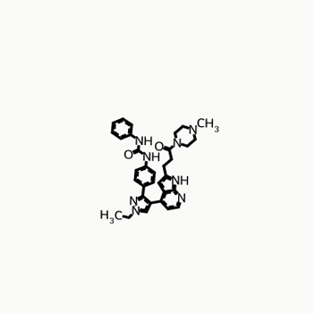 CCn1cc(-c2ccnc3[nH]c(CCC(=O)N4CCN(C)CC4)cc23)c(-c2ccc(NC(=O)Nc3ccccc3)cc2)n1